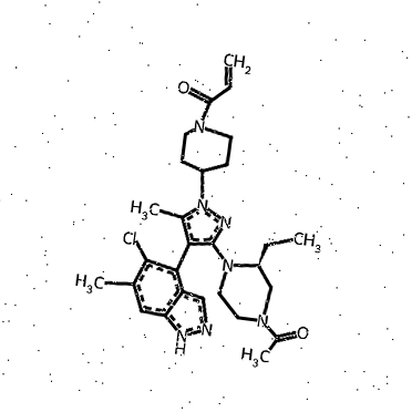 C=CC(=O)N1CCC(n2nc(N3CCN(C(C)=O)C[C@@H]3CC)c(-c3c(Cl)c(C)cc4[nH]ncc34)c2C)CC1